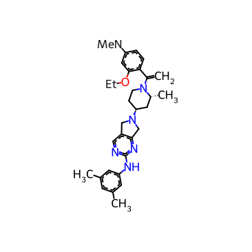 C=C(c1ccc(NC)cc1OCC)N1CC[C@H](N2Cc3cnc(Nc4cc(C)cc(C)c4)nc3C2)C[C@H]1C